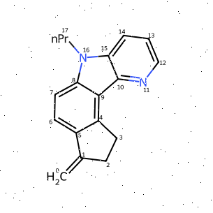 C=C1CCc2c1ccc1c2c2ncccc2n1CCC